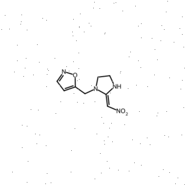 O=[N+]([O-])/C=C1\NCCN1Cc1ccno1